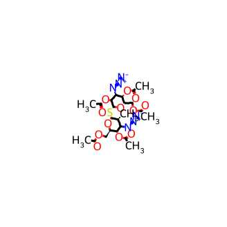 CC(=O)OCC1O[C@@H](SC2O[C@H](COC(C)=O)C(OC(C)=O)C(N=[N+]=[N-])[C@H]2C)C(OC(C)=O)[C@@H](N=[N+]=[N-])[C@H]1OC(C)=O